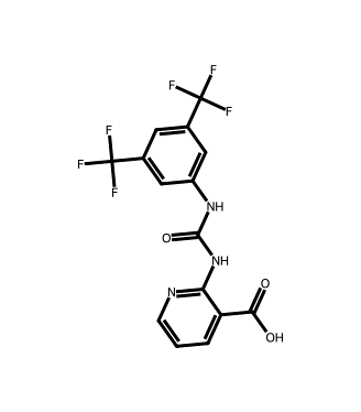 O=C(Nc1cc(C(F)(F)F)cc(C(F)(F)F)c1)Nc1ncccc1C(=O)O